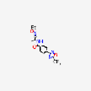 CCO/N=B/C(C)NC(=O)c1ccc(-c2noc(C(F)(F)F)n2)cc1